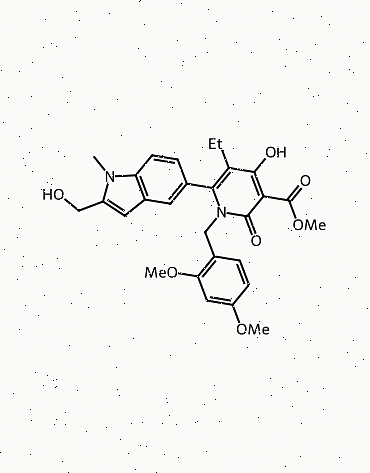 CCc1c(O)c(C(=O)OC)c(=O)n(Cc2ccc(OC)cc2OC)c1-c1ccc2c(c1)cc(CO)n2C